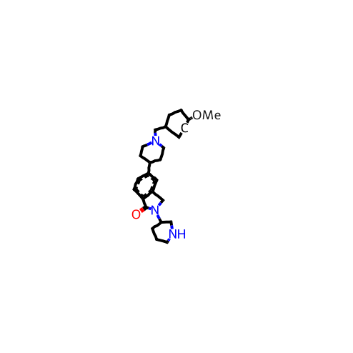 COC1CCC(CN2CCC(c3ccc4c(c3)CN(C3CCCNC3)C4=O)CC2)CC1